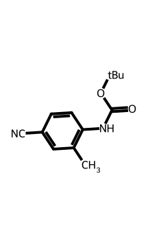 Cc1cc(C#N)ccc1NC(=O)OC(C)(C)C